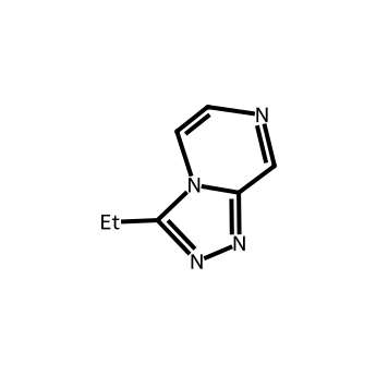 CCc1nnc2cnccn12